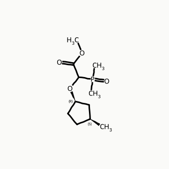 COC(=O)C(O[C@@H]1CC[C@H](C)C1)P(C)(C)=O